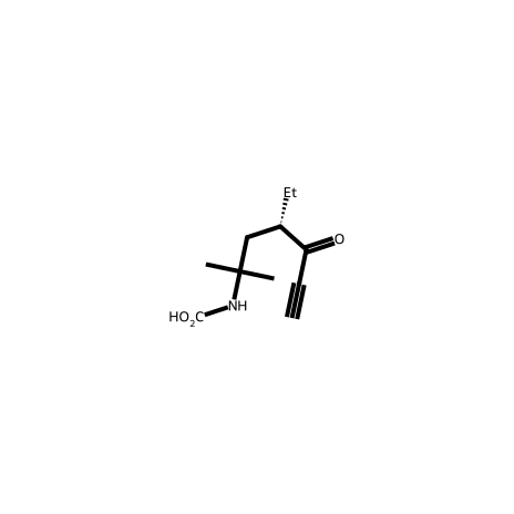 C#CC(=O)[C@@H](CC)CC(C)(C)NC(=O)O